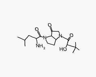 CC(C)CC(N)C(=O)N1CCC2C1C(=O)CN2C(=O)C(O)C(C)(C)C